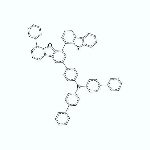 c1ccc(-c2ccc(N(c3ccc(-c4ccccc4)cc3)c3ccc(-c4cc(-c5cccc6c5sc5ccccc56)c5oc6c(-c7ccccc7)cccc6c5c4)cc3)cc2)cc1